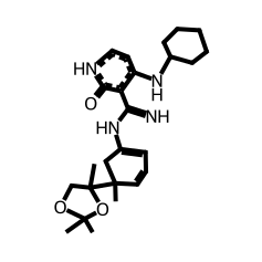 CC1(C)OCC(C)(C2(C)C=CC=C(NC(=N)c3c(NC4CCCCC4)cc[nH]c3=O)C2)O1